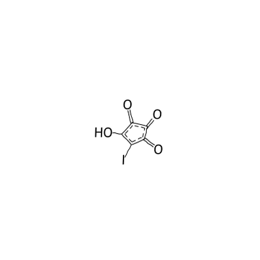 O=c1c(O)c(I)c(=O)c1=O